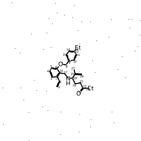 C=Cc1cccc(OCc2ccc(CC)cc2)c1CNC(CCC(=O)CC)C(=C)C